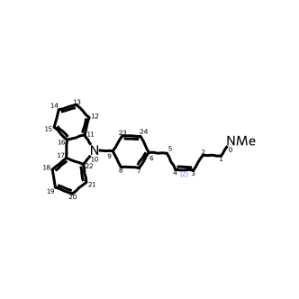 CNCC/C=C\CC1=CCC(n2c3ccccc3c3ccccc32)C=C1